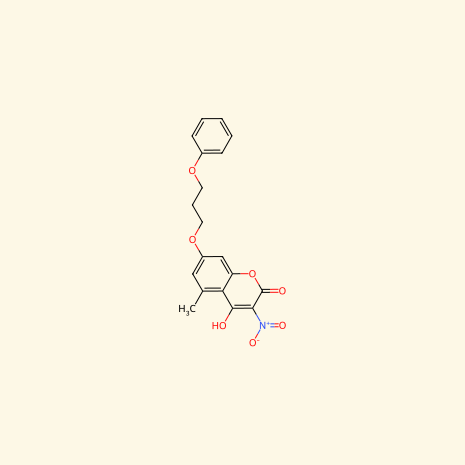 Cc1cc(OCCCOc2ccccc2)cc2oc(=O)c([N+](=O)[O-])c(O)c12